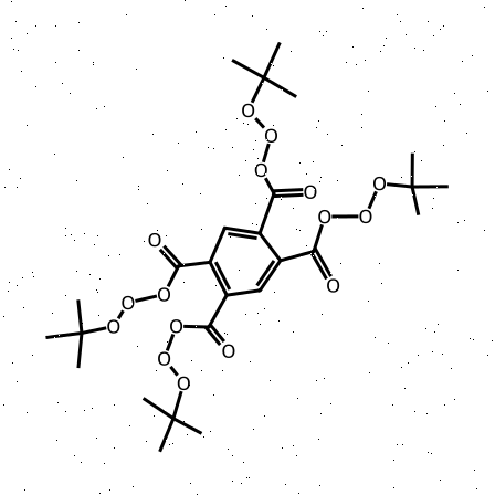 CC(C)(C)OOOC(=O)c1cc(C(=O)OOOC(C)(C)C)c(C(=O)OOOC(C)(C)C)cc1C(=O)OOOC(C)(C)C